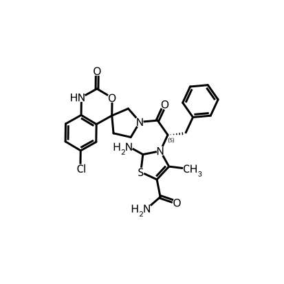 CC1=C(C(N)=O)SC(N)N1[C@@H](Cc1ccccc1)C(=O)N1CCC2(C1)OC(=O)Nc1ccc(Cl)cc12